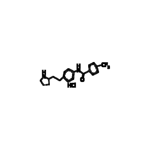 Cl.O=C(Nc1ccc(CCC2CCCN2)cc1)c1ccc(C(F)(F)F)cc1